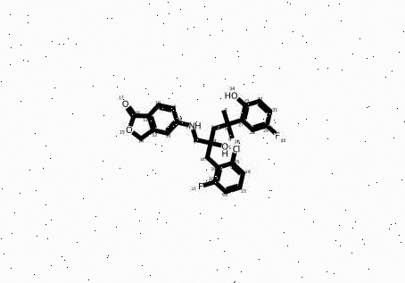 CC(C)(CC(O)(CNc1ccc2c(c1)COC2=O)Cc1c(F)cccc1Cl)c1cc(F)ccc1O